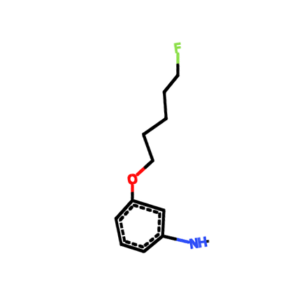 [NH]c1cccc(OCCCCCF)c1